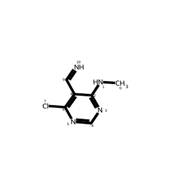 CNc1ncnc(Cl)c1C=N